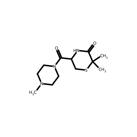 CN1CCN(C(=O)C2CSC(C)(C)C(=O)N2)CC1